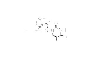 CC[C@]1(CO)O[C@@H](n2cc(C)c(=O)[nH]c2=O)[C@@H](F)[C@@H]1O